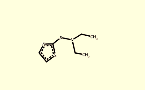 CCN(CC)Sc1nccs1